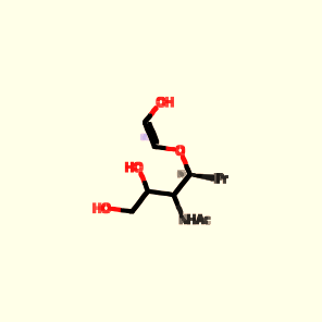 CC(=O)NC(C(O)CO)[C@@H](O/C=C\O)C(C)C